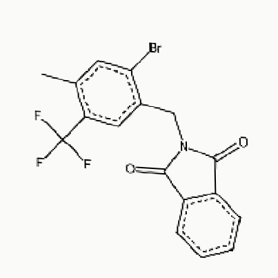 Cc1cc(Br)c(CN2C(=O)c3ccccc3C2=O)cc1C(F)(F)F